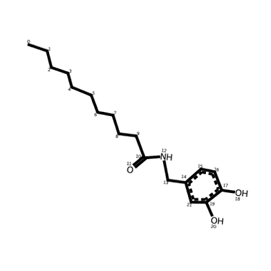 CCCCCCCCCCC(=O)NCc1ccc(O)c(O)c1